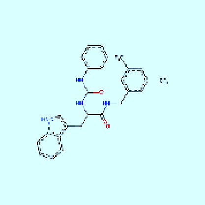 O=C(Nc1ccccc1)NC(Cc1c[nH]c2ccccc12)C(=O)NCc1cc(C(F)(F)F)cc(C(F)(F)F)c1